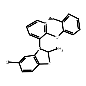 CC(C)(C)c1ccccc1Oc1ncccc1N1c2cc(Cl)ccc2OC1N